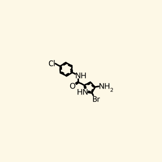 Nc1cc(C(=O)Nc2ccc(Cl)cc2)[nH]c1Br